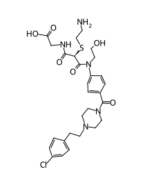 NCCS[C@H](C(=O)NCC(=O)O)C(=O)N(CCO)c1ccc(C(=O)N2CCN(CCc3ccc(Cl)cc3)CC2)cc1